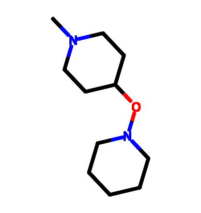 CN1CCC(ON2CCCCC2)CC1